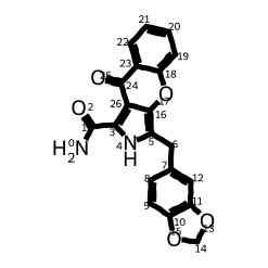 NC(=O)c1[nH]c(Cc2ccc3c(c2)OCO3)c2oc3ccccc3c(=O)c12